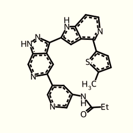 CCC(=O)Nc1cncc(-c2cc3c(-c4cc5c(-c6ccc(C)s6)nccc5[nH]4)n[nH]c3cn2)c1